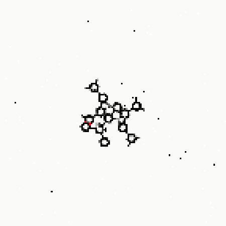 Cc1cc(C)cc(-c2ccc3c(c2)c2cc(-c4cc(C)cc(C)c4)ccc2n3-c2ccccc2-c2ccc(-c3nc(-c4ccccc4)cc(-c4ccccc4)n3)cc2-n2c3ccc(-c4cc(C)cc(C)c4)cc3c3cc(-c4cc(C)cc(C)c4)ccc32)c1